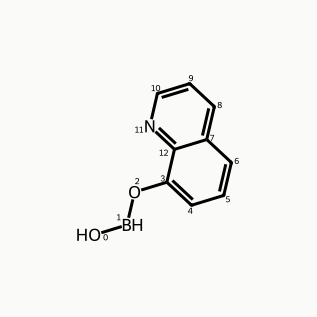 OBOc1cccc2cccnc12